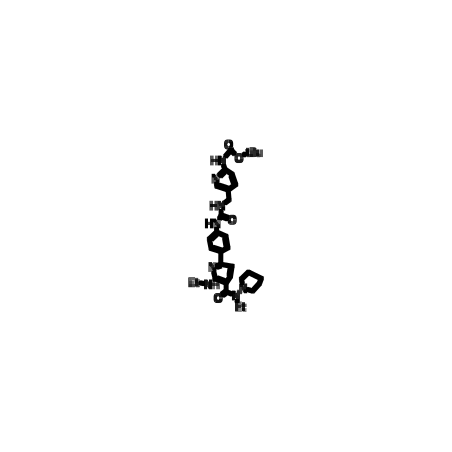 CCNc1nc(-c2ccc(NC(=O)NCc3ccc(NC(=O)OC(C)(C)C)nc3)cc2)ccc1C(=O)N(CC)N1CCCCC1